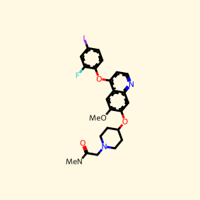 CNC(=O)CN1CCC(Oc2cc3nccc(Oc4ccc(I)cc4F)c3cc2OC)CC1